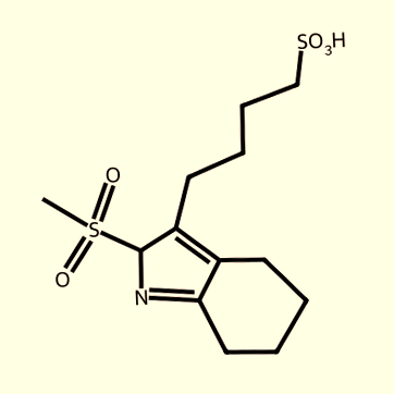 CS(=O)(=O)C1N=C2CCCCC2=C1CCCCS(=O)(=O)O